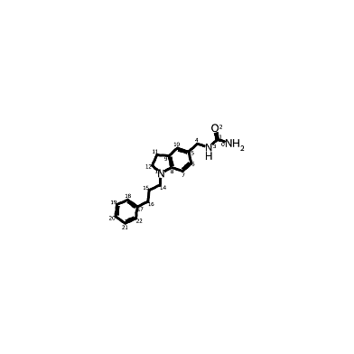 NC(=O)NCc1ccc2c(c1)CCN2CCCc1ccccc1